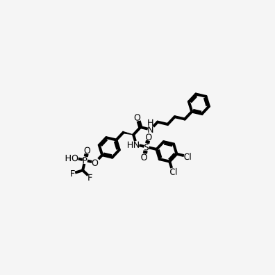 O=C(NCCCCc1ccccc1)[C@H](Cc1ccc(OP(=O)(O)C(F)F)cc1)NS(=O)(=O)c1ccc(Cl)c(Cl)c1